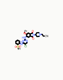 CC(C)Oc1cc2c(cc1Nc1ncc(Cl)c(Nc3ccccc3S(=O)(=O)C(C)C)n1)C(=O)N(C1CCN(CCC#N)CC1)C2=O